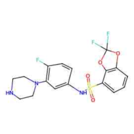 O=S(=O)(Nc1ccc(F)c(N2CCNCC2)c1)c1cccc2c1OC(F)(F)O2